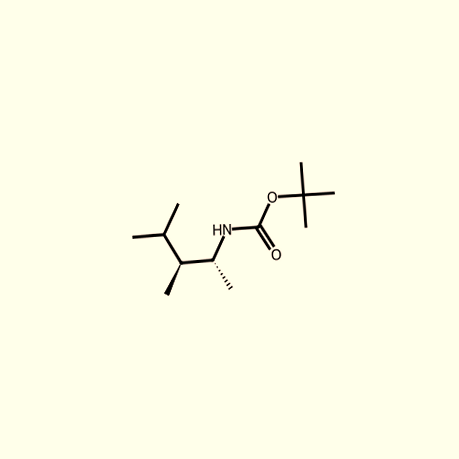 CC(C)[C@H](C)[C@@H](C)NC(=O)OC(C)(C)C